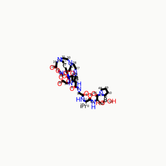 CC(C)[C@H](NC(=O)CNC(=O)CC[C@@H]1C(=O)O[N+]23OC(=O)CN4CCN(CCN1CCN(CC4)CC(=O)O2)CC(=O)O3)C(=O)N[C@H](C)C(=O)N1CCC[C@H]1B(O)O